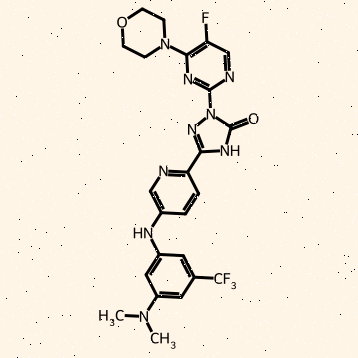 CN(C)c1cc(Nc2ccc(-c3nn(-c4ncc(F)c(N5CCOCC5)n4)c(=O)[nH]3)nc2)cc(C(F)(F)F)c1